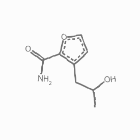 CC(O)Cc1ccoc1C(N)=O